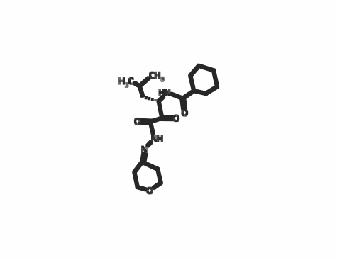 CC(C)C[C@H](NC(=O)C1CCCCC1)C(=O)C(=O)NN=C1CCOCC1